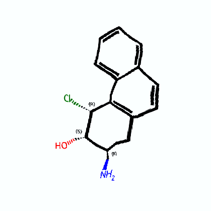 N[C@@H]1Cc2ccc3ccccc3c2[C@@H](Cl)[C@H]1O